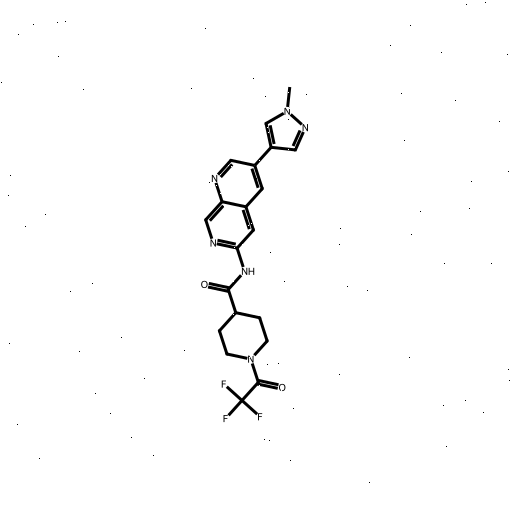 Cn1cc(-c2cnc3cnc(NC(=O)C4CCN(C(=O)C(F)(F)F)CC4)cc3c2)cn1